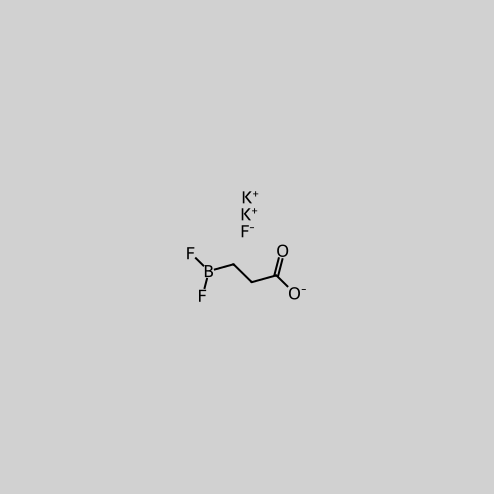 O=C([O-])CCB(F)F.[F-].[K+].[K+]